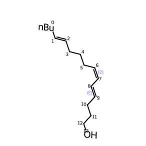 CCCCC=CCCC/C=C\C=C\CCCO